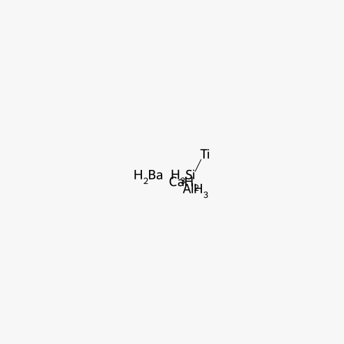 [AlH3].[BaH2].[CaH2].[SiH3][Ti]